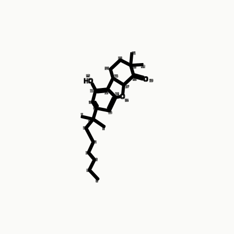 CCCCCCC(C)(C)c1cc(O)c2c(c1)OC1C(=O)C(C)(C)CCC21